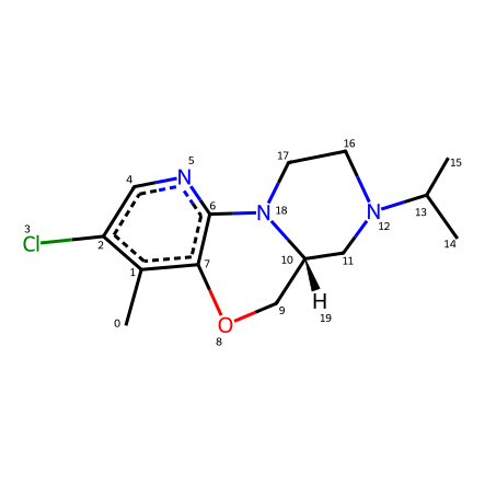 Cc1c(Cl)cnc2c1OC[C@H]1CN(C(C)C)CCN21